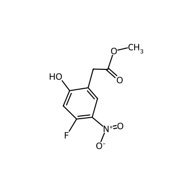 COC(=O)Cc1cc([N+](=O)[O-])c(F)cc1O